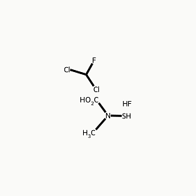 CN(S)C(=O)O.F.FC(Cl)Cl